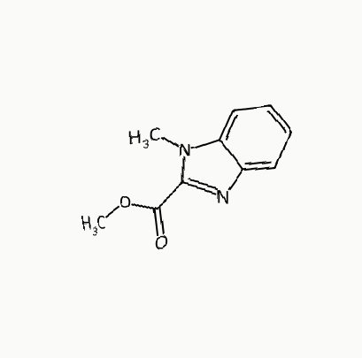 COC(=O)c1nc2ccccc2n1C